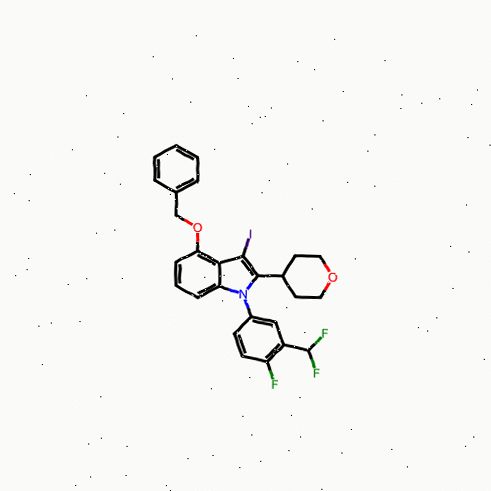 Fc1ccc(-n2c(C3CCOCC3)c(I)c3c(OCc4ccccc4)cccc32)cc1C(F)F